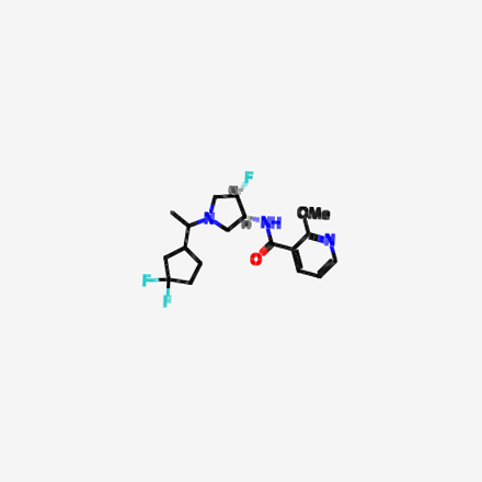 COc1ncccc1C(=O)N[C@@H]1CN(C(C)C2CCC(F)(F)C2)C[C@@H]1F